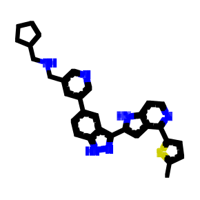 Cc1ccc(-c2nccc3[nH]c(-c4n[nH]c5ccc(-c6cncc(CNCC7CCCC7)c6)cc45)cc23)s1